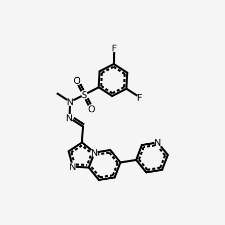 CN(N=Cc1cnc2ccc(-c3cccnc3)cn12)S(=O)(=O)c1cc(F)cc(F)c1